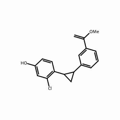 C=C(OC)c1cccc(C2CC2c2ccc(O)cc2Cl)c1